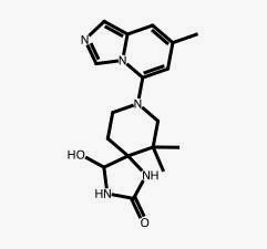 Cc1cc(N2CCC3(NC(=O)NC3O)C(C)(C)C2)n2cncc2c1